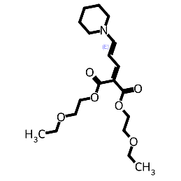 CCOCCOC(=O)C(=C/C=C/N1CCCCC1)C(=O)OCCOCC